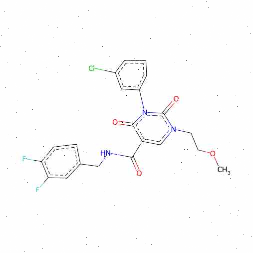 COCCn1cc(C(=O)NCc2ccc(F)c(F)c2)c(=O)n(-c2cccc(Cl)c2)c1=O